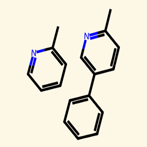 Cc1ccc(-c2ccccc2)cn1.Cc1ccccn1